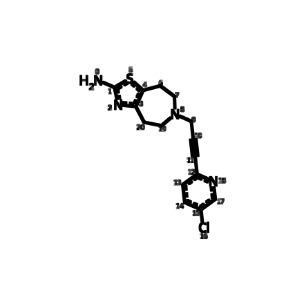 Nc1nc2c(s1)CCN(CC#Cc1ccc(Cl)cn1)CC2